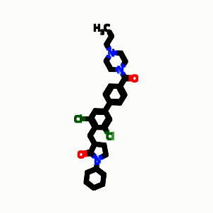 CCCN1CCN(C(=O)c2ccc(-c3cc(Cl)c(CC4CCN(C5CCCCC5)C4=O)c(Cl)c3)cc2)CC1